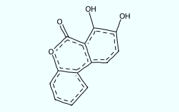 O=c1oc2ccccc2c2ccc(O)c(O)c12